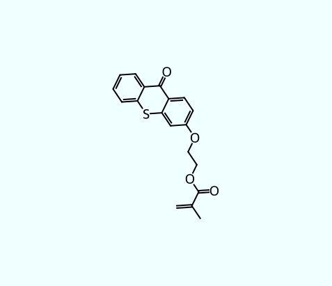 C=C(C)C(=O)OCCOc1ccc2c(=O)c3ccccc3sc2c1